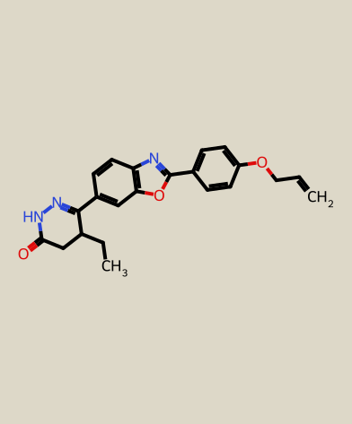 C=CCOc1ccc(-c2nc3ccc(C4=NNC(=O)CC4CC)cc3o2)cc1